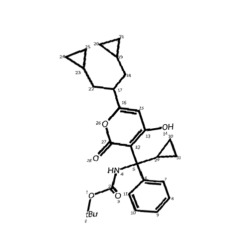 CC(C)(C)OC(=O)NC(c1ccccc1)(c1c(O)cc(C(CC2CC2)CC2CC2)oc1=O)C1CC1